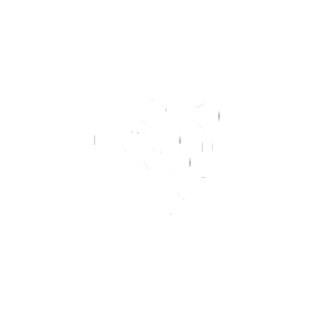 CCc1ccc2c(c1)=[C]c1c(C3=CC=CC3)c(CC)c(CC)c(=C(c3ccccc3)c3ccccc3)c1=2